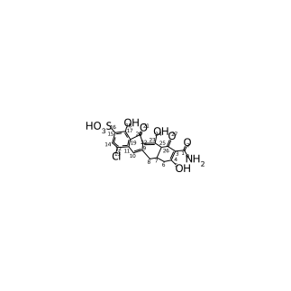 NC(=O)C1=C(O)CC2CC3=Cc4c(Cl)cc(S(=O)(=O)O)c(O)c4C(=O)C3=C(O)C2C1=O